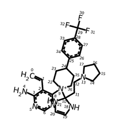 C=Cc1c(N)ncnc1[N+]1(C2(CCN3CCCC3)NC=CN2)CCC(c2ccc(C(F)(F)F)cc2)CC1